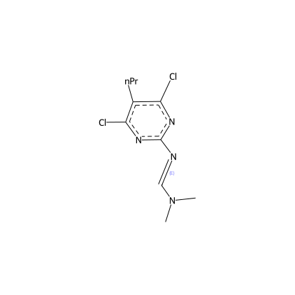 CCCc1c(Cl)nc(/N=C/N(C)C)nc1Cl